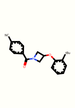 CC(C)(C)c1ccccc1OC1CN(C(=O)c2ccc(C#N)cc2)C1